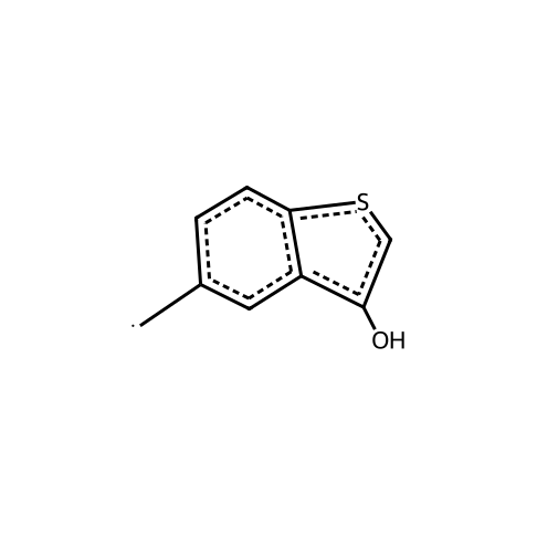 [CH2]c1ccc2scc(O)c2c1